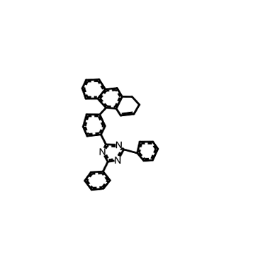 C1=Cc2c(cc3ccccc3c2-c2cccc(-c3nc(-c4ccccc4)nc(-c4ccccc4)n3)c2)CC1